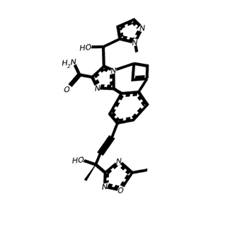 Cc1nc([C@](C)(O)C#Cc2ccc3c(c2)-c2nc(C(N)=O)c(C(O)c4ccnn4C)n2C2C=C3C2)no1